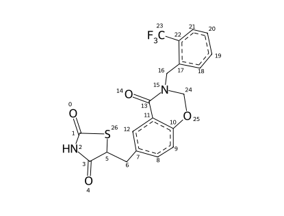 O=C1NC(=O)C(Cc2ccc3c(c2)C(=O)N(Cc2ccccc2C(F)(F)F)CO3)S1